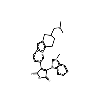 CN(C)CC1CCc2c(cc3ccc(C4=C(c5cn(C)c6ccccc56)C(=O)NC4=O)cn23)C1